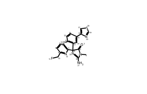 CN1C(=O)C(c2cccc(CF)n2)(c2cc(-c3cscn3)ccc2F)N=C1N